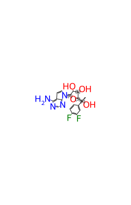 C[C@@](O)(c1ccc(F)c(F)c1)[C@H]1O[C@@H](n2ccc3c(N)ncnc32)C(O)[C@@H]1O